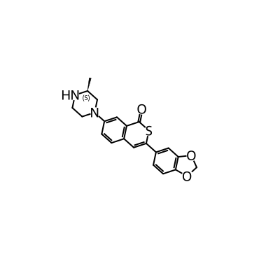 C[C@H]1CN(c2ccc3cc(-c4ccc5c(c4)OCO5)sc(=O)c3c2)CCN1